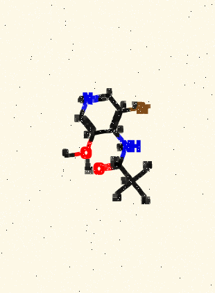 COc1cncc(Br)c1NC(=O)C(C)(C)C